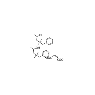 CC(O)C[N+](C)(C)Cc1ccccc1.CC(O)C[N+](C)(C)Cc1ccccc1.O=C([O-])/C=C\C(=O)[O-]